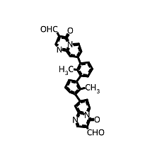 Cc1c(-c2ccn3c(=O)c(C=O)cnc3c2)cccc1-c1cccc(-c2ccn3c(=O)c(C=O)cnc3c2)c1C